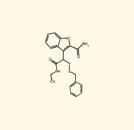 N#CCNC(=O)C(CSCc1ccccc1)c1c(C(N)=O)oc2ccccc12